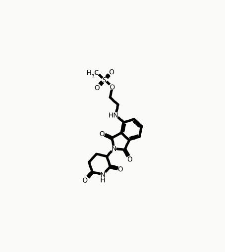 CS(=O)(=O)OCCNc1cccc2c1C(=O)N(C1CCC(=O)NC1=O)C2=O